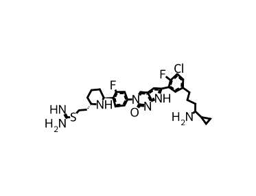 N=C(N)SCC[C@@H]1CCC[C@@H](c2ccc(-n3cc4cc(-c5cc(CCCC(N)C6CC6)cc(Cl)c5F)[nH]c4nc3=O)cc2F)N1